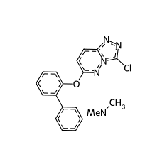 CNC.Clc1nnc2ccc(Oc3ccccc3-c3ccccc3)nn12